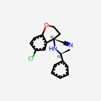 C[C@H](N[C@@]1(C#N)CCOc2ccc(Cl)cc21)c1ccccc1